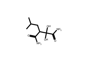 CC(C)CC(C(N)=O)C(O)(O)C(N)=O